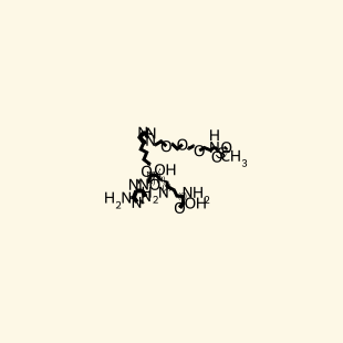 CS(=O)(=O)NCCOCCOCCOCCn1nncc1CCCCO[C@@H]1[C@H](O)[C@@H](C[C@@H](N)CC[C@H](N)C(=O)O)O[C@H]1n1cnc2c(N)ncnc21